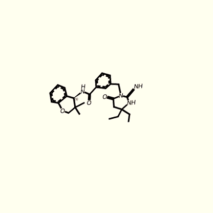 CCC1(CC)CC(=O)N(Cc2cccc(C(=O)N[C@@H]3c4ccccc4OCC3(C)C)c2)C(=N)N1